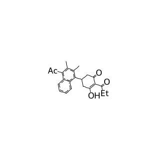 CCC(=O)C1=C(O)CC(c2c(C)c(C)c(C(C)=O)c3ccccc23)CC1=O